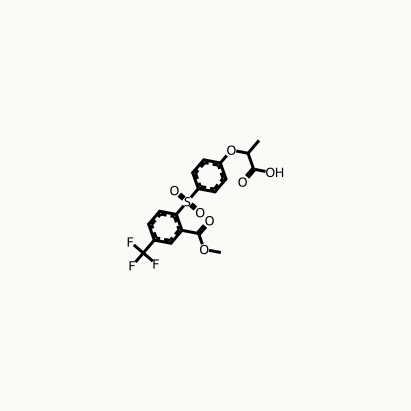 COC(=O)c1cc(C(F)(F)F)ccc1S(=O)(=O)c1ccc(OC(C)C(=O)O)cc1